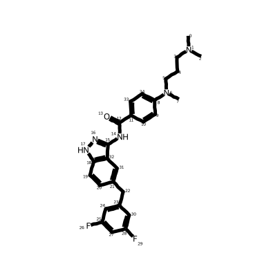 CN(C)CCCN(C)c1ccc(C(=O)Nc2n[nH]c3ccc(Cc4cc(F)cc(F)c4)cc23)cc1